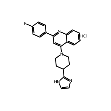 Cl.Fc1ccc(-c2cc(N3CCC(c4ncc[nH]4)CC3)c3ccccc3n2)cc1